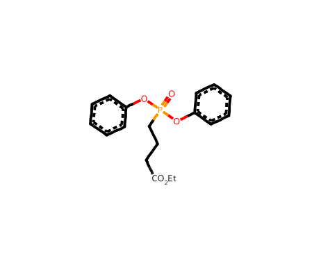 CCOC(=O)CCCP(=O)(Oc1ccccc1)Oc1ccccc1